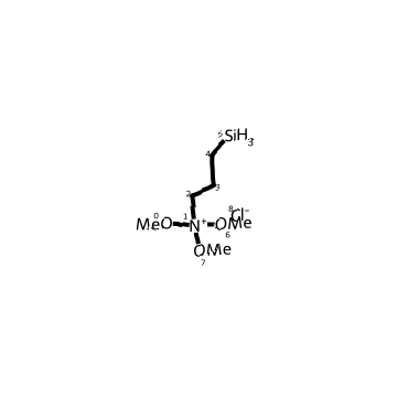 CO[N+](CCC[SiH3])(OC)OC.[Cl-]